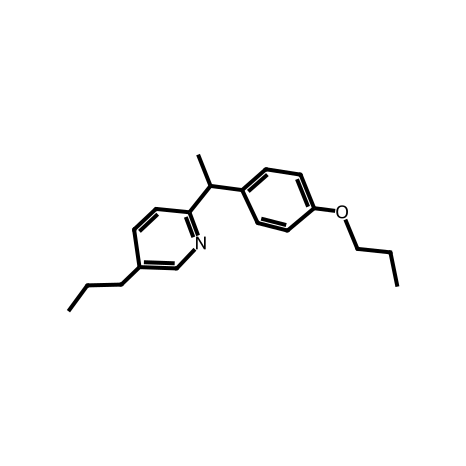 CCCOc1ccc(C(C)c2ccc(CCC)cn2)cc1